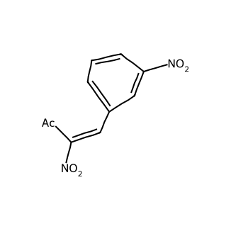 CC(=O)/C(=C\c1cccc([N+](=O)[O-])c1)[N+](=O)[O-]